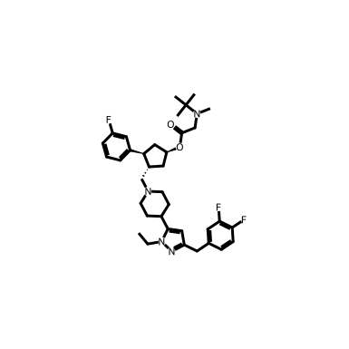 CCn1nc(Cc2ccc(F)c(F)c2)cc1C1CCN(C[C@H]2C[C@H](OC(=O)CN(C)C(C)(C)C)C[C@@H]2c2cccc(F)c2)CC1